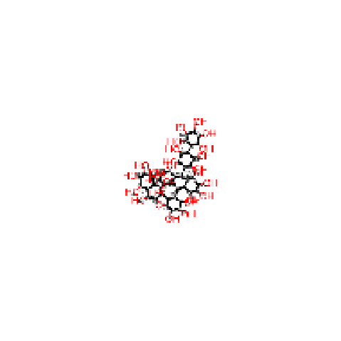 Oc1c(O)c(O)c(-c2c(O)c(O)c(-c3c4c(O)c(O)c(O)c(O)c4c(-c4c(O)c(O)c(O)c5oc6c(O)c7c(O)c(O)c(O)c(O)c7c(O)c6c45)c4c(O)c(O)c(O)c(O)c34)c(O)c2O)c(O)c1O